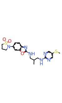 CSc1cnc(NCC(C)CNc2nc3ccc(N4CCCS4(=O)=O)cc3o2)nc1